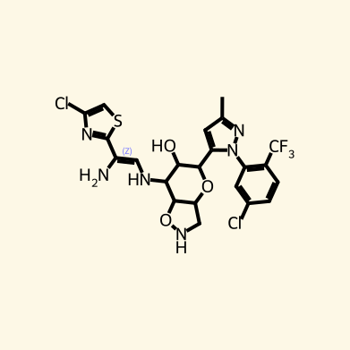 Cc1cc(C2OC3CNOC3C(N/C=C(\N)c3nc(Cl)cs3)C2O)n(-c2cc(Cl)ccc2C(F)(F)F)n1